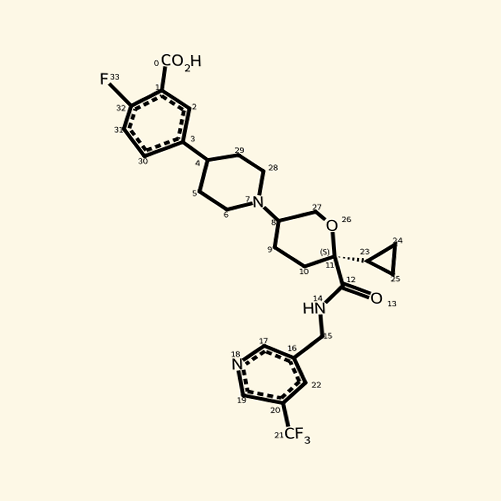 O=C(O)c1cc(C2CCN(C3CC[C@@](C(=O)NCc4cncc(C(F)(F)F)c4)(C4CC4)OC3)CC2)ccc1F